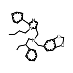 CCCCn1c(CN(Cc2ccc3c(c2)OCO3)CC(CC)c2ccccc2)cnc1-c1ccccc1